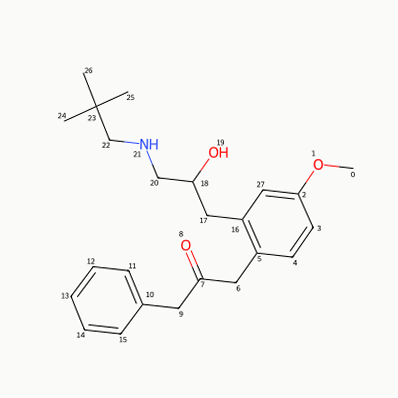 COc1ccc(CC(=O)Cc2ccccc2)c(CC(O)CNCC(C)(C)C)c1